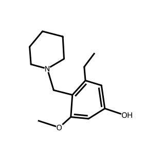 CCc1cc(O)cc(OC)c1CN1CCCCC1